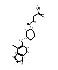 Cc1c(O[C@H]2CCC[C@@H](NCCC(=O)O)C2)ccc2[nH]ncc12